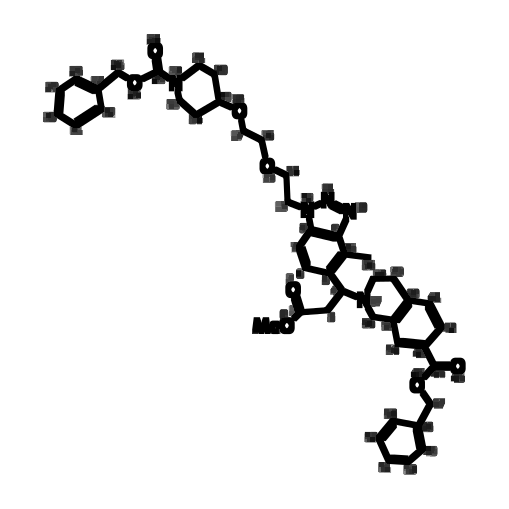 COC(=O)CC(c1ccc2c(nnn2CCOCCOC2CCN(C(=O)OCc3ccccc3)CC2)c1C)N1CCc2ccc(C(=O)OCc3ccccc3)cc2C1